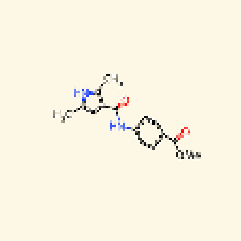 COC(=O)c1ccc(NC(=O)c2cc(C)[nH]c2C)cc1